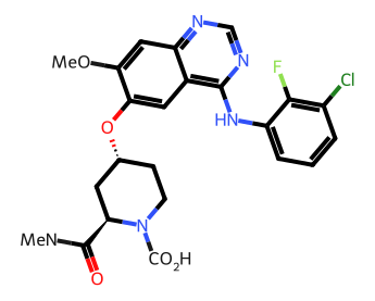 CNC(=O)[C@H]1C[C@H](Oc2cc3c(Nc4cccc(Cl)c4F)ncnc3cc2OC)CCN1C(=O)O